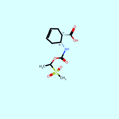 CC(OC(=O)N[C@@H]1CC=CC[C@@H]1C(=O)O)S(C)(=O)=O